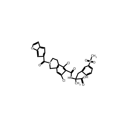 CC(Cc1cccc(S(C)(=O)=O)c1)(NC(=O)c1c(Cl)cc2c(c1Cl)CCN(C(=O)c1ccc3ccoc3c1)C2)C(=O)O